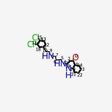 O=c1cc(NCCCNCCc2ccc(Cl)c(Cl)c2)[nH]c2ccccc12